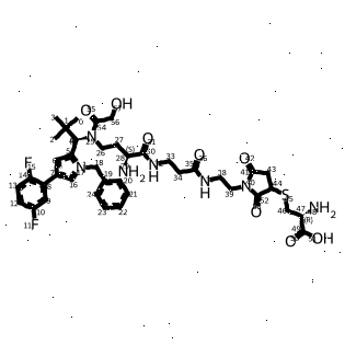 CC(C)(C)[C@H](c1cc(-c2cc(F)ccc2F)cn1Cc1ccccc1)N(CC[C@H](N)C(=O)NCCC(=O)NCCN1C(=O)CC(SC[C@H](N)C(=O)O)C1=O)C(=O)CO